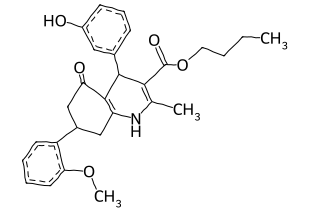 CCCCOC(=O)C1=C(C)NC2=C(C(=O)CC(c3ccccc3OC)C2)C1c1cccc(O)c1